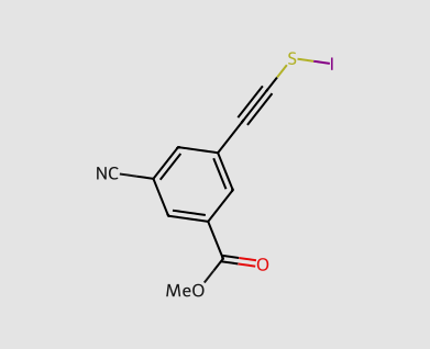 COC(=O)c1cc(C#N)cc(C#CSI)c1